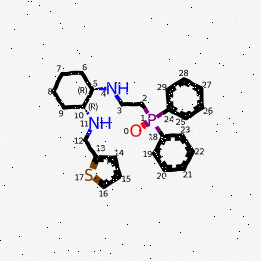 O=P(CCN[C@@H]1CCCC[C@H]1NCc1cccs1)(c1ccccc1)c1ccccc1